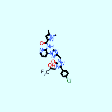 Cc1cc(C(=O)Nc2ncccc2-n2cnc(Cn3nc(-c4ccc(Cl)cc4)n(C[C@H](O)C(F)(F)F)c3=O)n2)nn1C